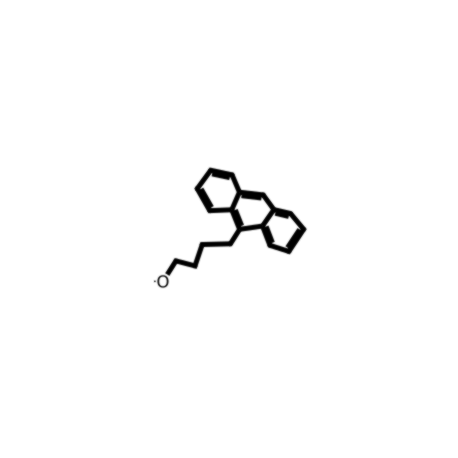 [O]CCCCc1c2ccccc2cc2ccccc12